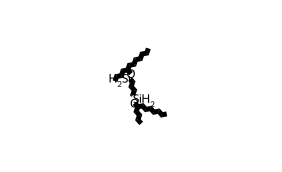 CCCCCCCC(CCCC)O[SiH2]CCCC[SiH2]OC(CCCC)CCCCCCC